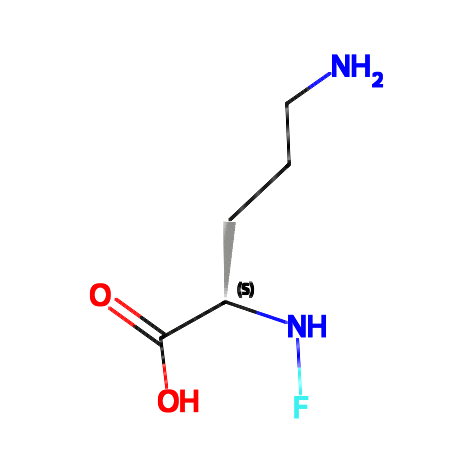 NCCC[C@H](NF)C(=O)O